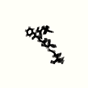 CC(C)(C)OC(=O)N[C@H](C(=O)NCC(=O)N[C@@H](CCCNC(=N)N)C(=O)O)C1CCCCC1